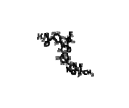 CC(F)(F)c1nc(C23CCC(CN(C(=O)C45CC(F)(C4)C5)c4cccc(C(N)=O)c4)(CC2)CC3)no1